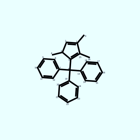 CC1=CC(C)C(C(c2ccccc2)(c2ccccc2)c2ccccc2)=C1C